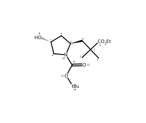 CCOC(=O)C(C)(C)C[C@@H]1C[C@@H](O)CN1C(=O)OC(C)(C)C